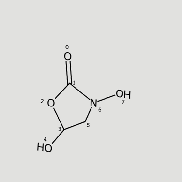 O=C1OC(O)CN1O